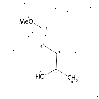 [CH2]C(O)CCCOC